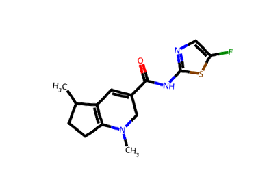 CC1CCC2=C1C=C(C(=O)Nc1ncc(F)s1)CN2C